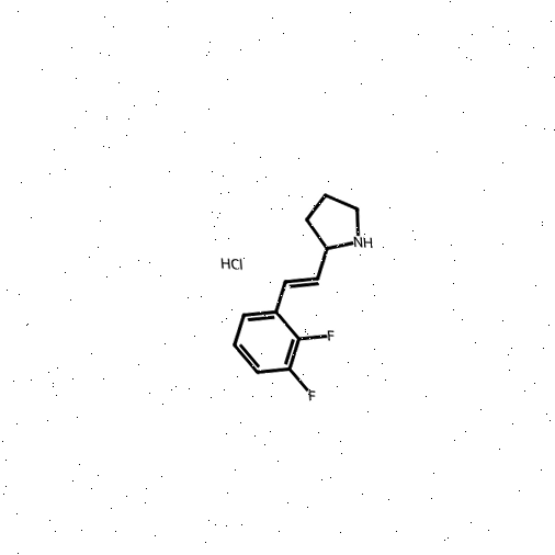 Cl.Fc1cccc(C=CC2CCCN2)c1F